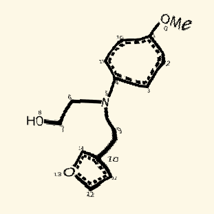 COc1ccc(N(CCO)Cc2ccoc2)cc1